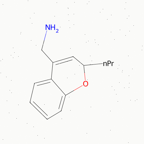 CCCC1C=C(CN)c2ccccc2O1